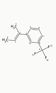 [CH2]C=C(C)c1cccc(C(F)(F)F)c1